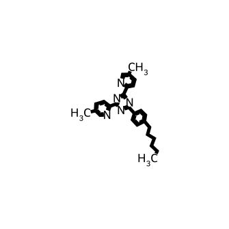 CCCCCCc1ccc(-c2nc(-c3ccc(C)cn3)nc(-c3ccc(C)cn3)n2)cc1